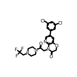 O=C(CN1C(=O)COc2cc(-c3cc(Cl)cc(Cl)c3)cnc21)N1CCN(CC(F)(F)F)CC1